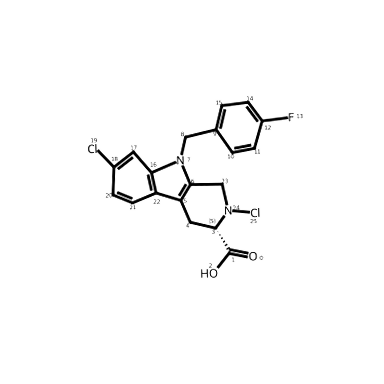 O=C(O)[C@@H]1Cc2c(n(Cc3ccc(F)cc3)c3cc(Cl)ccc23)CN1Cl